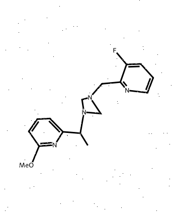 COc1cccc(C(C)N2CN(Cc3ncccc3F)C2)n1